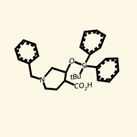 CC(C)(C)[Si](OC1CN(Cc2ccccc2)CCC1C(=O)O)(c1ccccc1)c1ccccc1